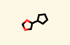 C1CCC(C2COCO2)C1